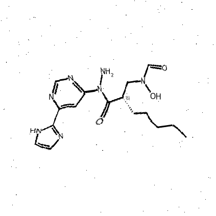 CCCCC[C@@H](CN(O)C=O)C(=O)N(N)c1cc(-c2ncc[nH]2)ncn1